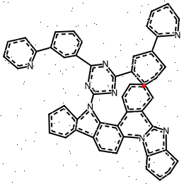 c1ccc(-c2cccc(-c3nc(-c4cccc(-c5ccccn5)c4)nc(-n4c5ccccc5c5ccc6c(c7ccccc7c7nc8ccccc8n67)c54)n3)c2)nc1